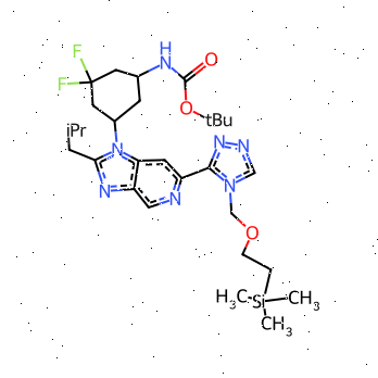 CC(C)Cc1nc2cnc(-c3nncn3COCC[Si](C)(C)C)cc2n1C1CC(NC(=O)OC(C)(C)C)CC(F)(F)C1